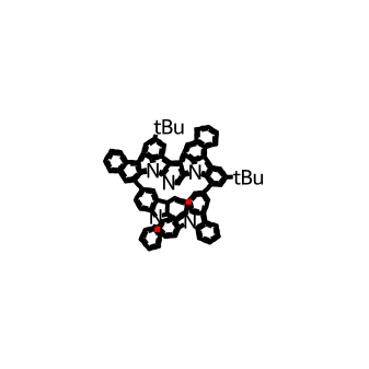 CC(C)(C)c1cc(-c2ccc3c(c2)c2ccccc2n3-c2ccccc2)c2c(c1)c1c3ccccc3cc3c4c5c6cc(C(C)(C)C)cc7c8c9ccccc9cc(-c9ccc%10c(c9)C9C=CC=CC9N%10c9ccccc9)c8n(c5ncc4n2c31)c67